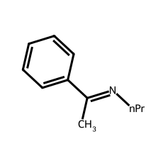 C[CH]CN=C(C)c1ccccc1